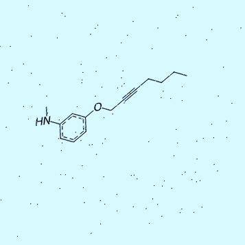 CCCCC#CCOc1cccc(NC)c1